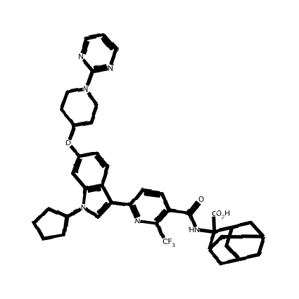 O=C(NC1(C(=O)O)C2CC3CC(C2)CC1C3)c1ccc(-c2cn(C3CCCC3)c3cc(OC4CCN(c5ncccn5)CC4)ccc23)nc1C(F)(F)F